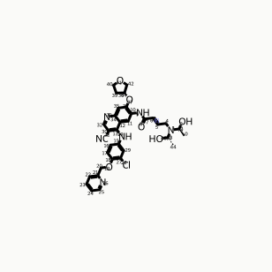 C[C@H](O)N(C/C=C/C(=O)Nc1cc2c(Nc3ccc(OCc4ccccn4)c(Cl)c3)c(C#N)cnc2cc1O[C@H]1CCOC1)[C@H](C)O